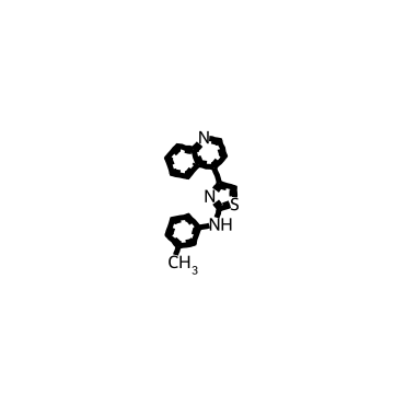 Cc1cccc(Nc2nc(-c3ccnc4ccccc34)cs2)c1